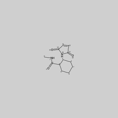 CNC(=O)C1CCCCC1.O=C1C=CC(=O)N1